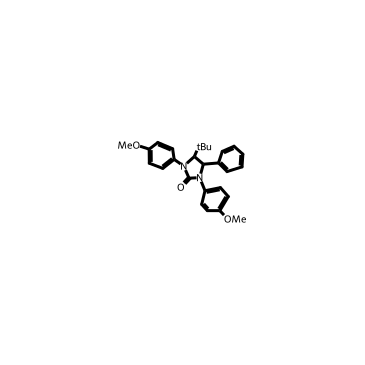 COc1ccc(N2C(=O)N(c3ccc(OC)cc3)C(C(C)(C)C)C2c2ccccc2)cc1